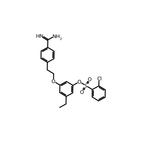 CCc1cc(OCCc2ccc(C(=N)N)cc2)cc(OS(=O)(=O)c2ccccc2Cl)c1